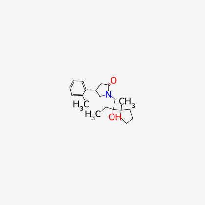 CC[C@@](O)(CN1C[C@H](c2ccccc2C)CC1=O)C1(C)CCCC1